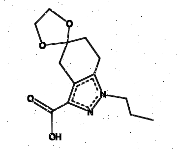 CCCn1nc(C(=O)O)c2c1CCC1(C2)OCCO1